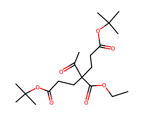 CCOC(=O)C(CCC(=O)OC(C)(C)C)(CCC(=O)OC(C)(C)C)C(C)=O